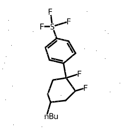 CCCCC1CCC(F)(c2ccc(S(F)(F)F)cc2)C(F)C1